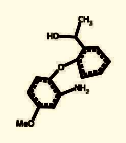 COc1ccc(Oc2ccccc2C(C)O)c(N)c1